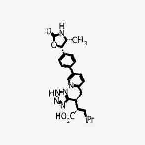 CC(C)C[C@H](C(=O)O)[C@H](Cc1ccc(-c2ccc([C@@H]3OC(=O)N[C@@H]3C)cc2)cn1)c1nn[nH]n1